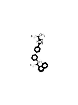 CC(C)c1nc(C2=CCC([C@H]3CCCC(NC(C)c4cccc5ccccc45)C3)C=C2)no1